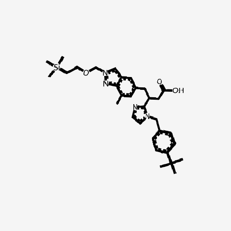 Cc1cc(CC(CC(=O)O)c2nccn2Cc2ccc(C(C)(C)C)cc2)cc2cn(COCC[Si](C)(C)C)nc12